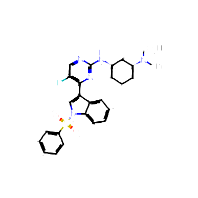 CC(C)(C)N(C(=O)O)[C@H]1CCC[C@@H](Nc2ncc(F)c(-c3cn(S(=O)(=O)c4ccccc4)c4ccccc34)n2)C1